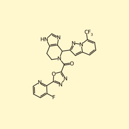 O=C(c1nnc(-c2ncccc2F)o1)N1CCc2[nH]cnc2C1c1cc2cccc(C(F)(F)F)n2n1